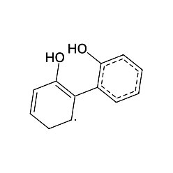 OC1=C(c2ccccc2O)[CH]CC=C1